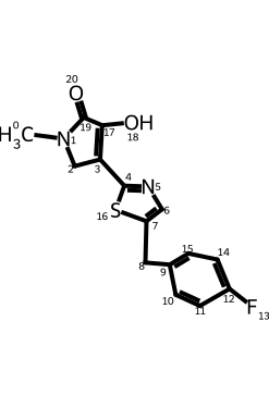 CN1CC(c2ncc(Cc3ccc(F)cc3)s2)=C(O)C1=O